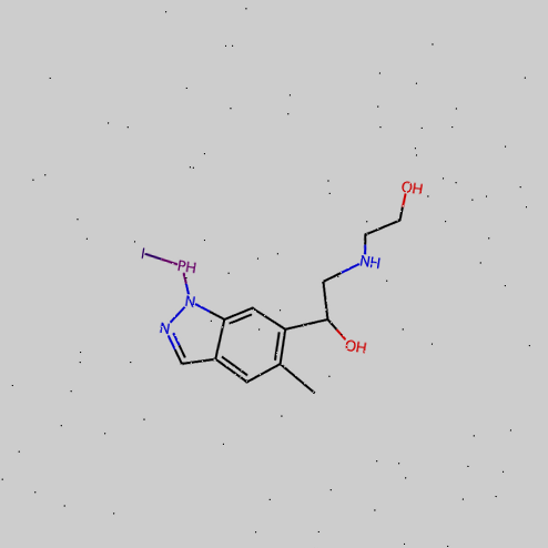 Cc1cc2cnn(PI)c2cc1C(O)CNCCO